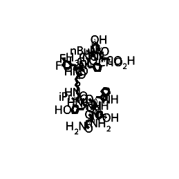 CCCC[C@@H](C(=O)N1C[C@H](O)C[C@@H]1C(=O)N[C@H](C=O)CC(=O)O)N(C)C(=O)[C@H](Cc1ccccc1)N(C)C(=O)[C@H](Cc1ccc(F)c(F)c1)NC(=O)CSCCNC(=O)[C@H](CC(C)C)NC(=O)[C@H](Cc1ccc(O)cc1)NC(=O)[C@H](Cc1c[nH]c2ccccc12)NC(=O)[C@H]1C[C@@H](O)CN1C(=O)[C@@H](N)CC(N)=O